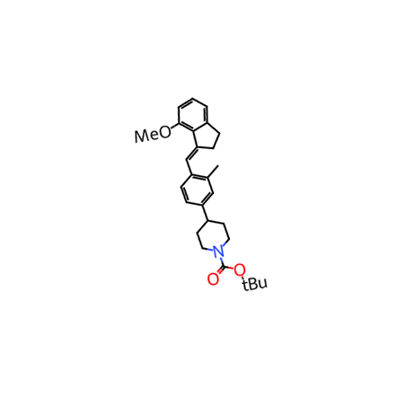 COc1cccc2c1C(=Cc1ccc(C3CCN(C(=O)OC(C)(C)C)CC3)cc1C)CC2